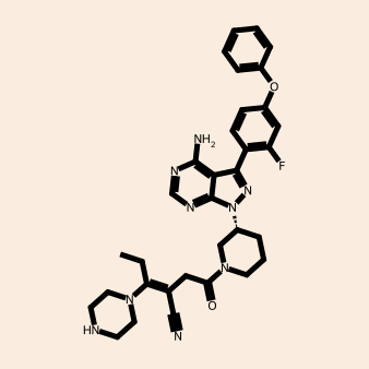 CC/C(=C(/C#N)CC(=O)N1CCC[C@@H](n2nc(-c3ccc(Oc4ccccc4)cc3F)c3c(N)ncnc32)C1)N1CCNCC1